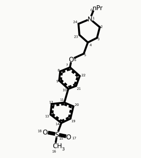 CCCN1CCC(COc2ccc(-c3ccc(S(C)(=O)=O)cc3)cc2)CC1